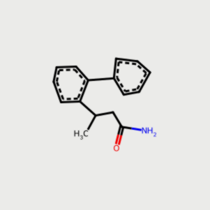 CC(CC(N)=O)c1ccccc1-c1ccccc1